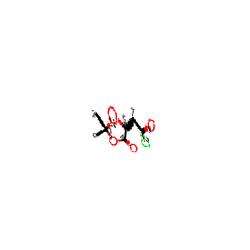 CC1(C)OC(=O)/C(=C\C(=O)Cl)O1